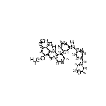 COc1cc(OC)c(Cl)c(Nc2ncncc2-c2cc(Nc3ccc(CN4CCOCC4)cn3)ncn2)c1F